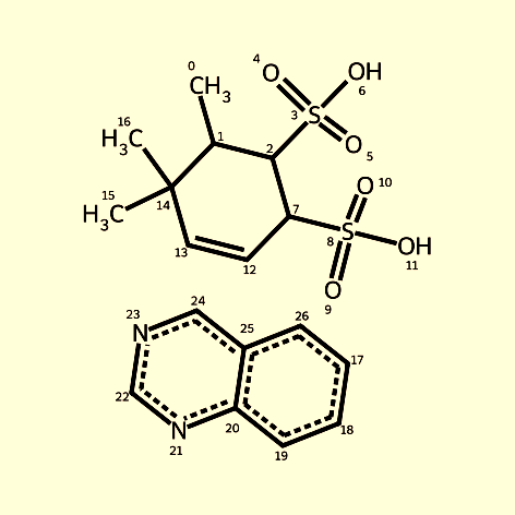 CC1C(S(=O)(=O)O)C(S(=O)(=O)O)C=CC1(C)C.c1ccc2ncncc2c1